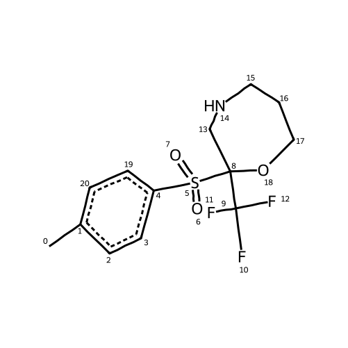 Cc1ccc(S(=O)(=O)C2(C(F)(F)F)CNCCCO2)cc1